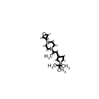 CC(CC1CCN(C(C)(C)C)C1)N1CCN(C2COC2)CC1